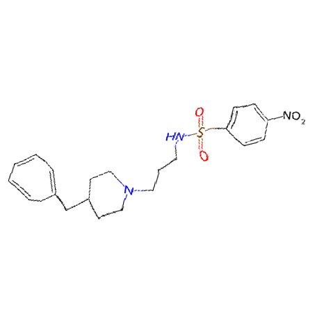 O=[N+]([O-])c1ccc(S(=O)(=O)NCCCN2CCC(Cc3ccccc3)CC2)cc1